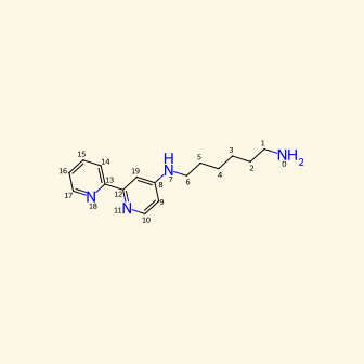 NCCCCCCNc1ccnc(-c2ccccn2)c1